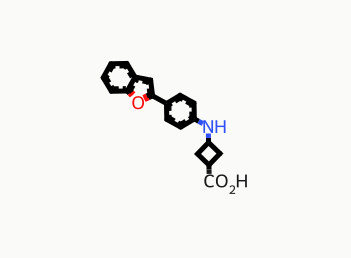 O=C(O)C1CC(Nc2ccc(-c3cc4ccccc4o3)cc2)C1